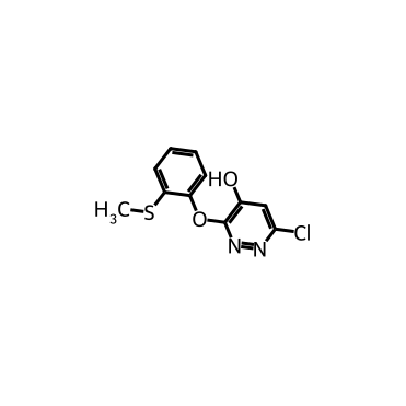 CSc1ccccc1Oc1nnc(Cl)cc1O